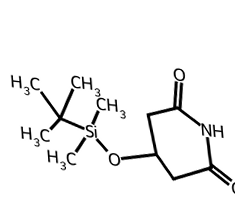 CC(C)(C)[Si](C)(C)OC1CC(=O)NC(=O)C1